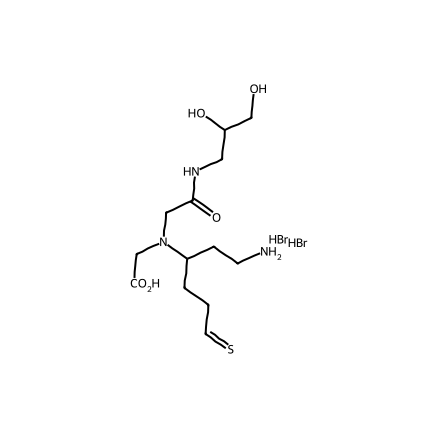 Br.Br.NCCC(CCC=S)N(CC(=O)O)CC(=O)NCC(O)CO